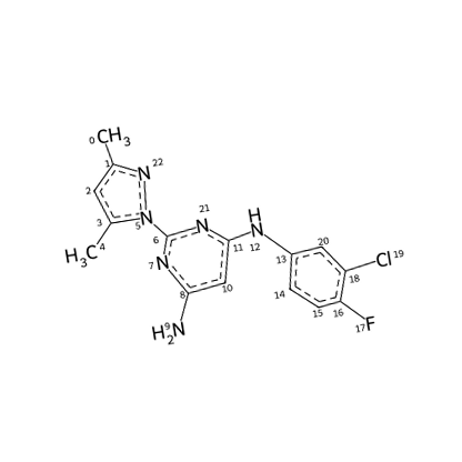 Cc1cc(C)n(-c2nc(N)cc(Nc3ccc(F)c(Cl)c3)n2)n1